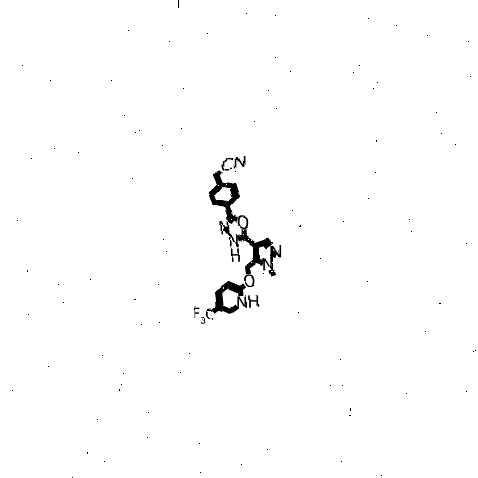 Cn1ncc(C2NN=C(c3ccc(CC#N)cc3)O2)c1COC1=CC=C(C(F)(F)F)CN1